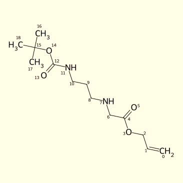 C=CCOC(=O)CNCCCNC(=O)OC(C)(C)C